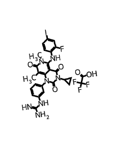 Cc1c(=O)n(C)c(Nc2ccc(I)cc2F)c2c(=O)n(C3CC3)c(=O)n(-c3cccc(NC(=N)N)c3)c12.O=C(O)C(F)(F)F